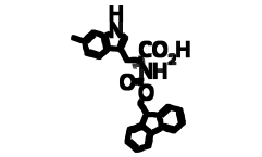 Cc1ccc2c(C[C@H](NC(=O)OCC3c4ccccc4-c4ccccc43)C(=O)O)c[nH]c2c1